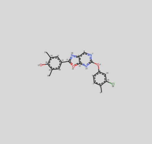 Cc1ccc(Oc2ncc3nc(-c4cc(C)c([O])c(C)c4)oc3n2)cc1Cl